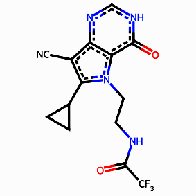 N#Cc1c(C2CC2)n(CCNC(=O)C(F)(F)F)c2c(=O)[nH]cnc12